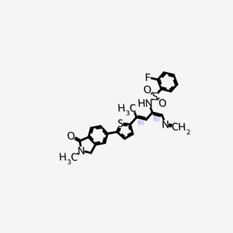 C=N/C=C(\C=C(/C)c1ccc(-c2ccc3c(c2)CN(C)C3=O)s1)NS(=O)(=O)c1ccccc1F